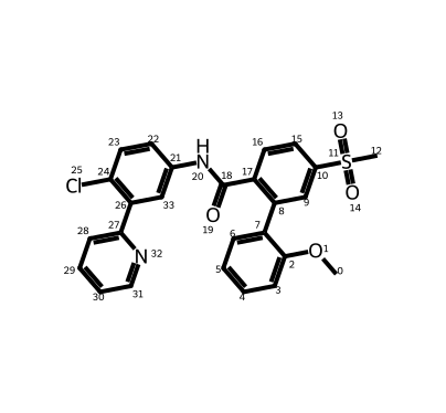 COc1ccccc1-c1cc(S(C)(=O)=O)ccc1C(=O)Nc1ccc(Cl)c(-c2ccccn2)c1